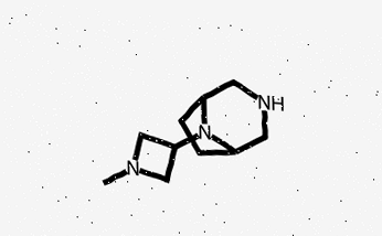 CN1CC(N2C3CCC2CNC3)C1